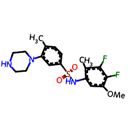 COc1cc(NS(=O)(=O)c2ccc(C)c(N3CCNCC3)c2)c(C)c(F)c1F